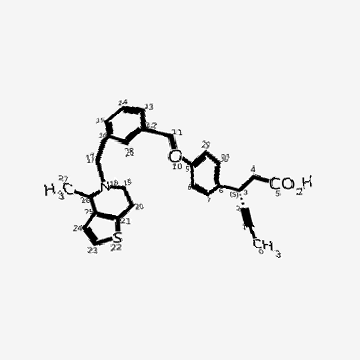 CC#C[C@@H](CC(=O)O)c1ccc(OCc2cccc(CN3CCc4sccc4C3C)c2)cc1